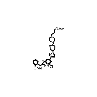 COCCCN1CCN([C@H]2CC[C@H](n3ccc(-c4cc(Cl)c5[nH]c(Cc6ccccc6OC)nc5c4)n3)CC2)CC1